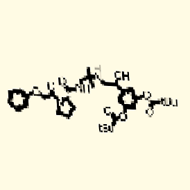 CC(C)(CNC(=O)[C@@H]1CCCN1C(=O)COc1ccccc1)NCC(O)c1cc(OC(=O)C(C)(C)C)cc(OC(=O)C(C)(C)C)c1